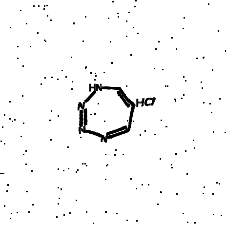 C1=CNN=NN=C1.Cl